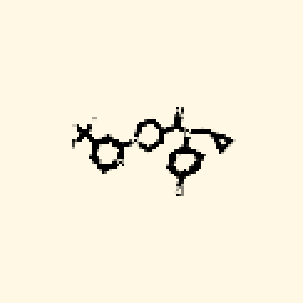 O=C(C1CCN(c2cc(C(F)(F)F)ccn2)CC1)N(CC1CC1)c1ccc(Cl)cc1